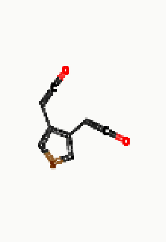 O=C=Cc1cscc1C=C=O